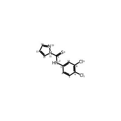 S=C(Nc1ccc(Cl)c(Cl)c1)n1cccn1